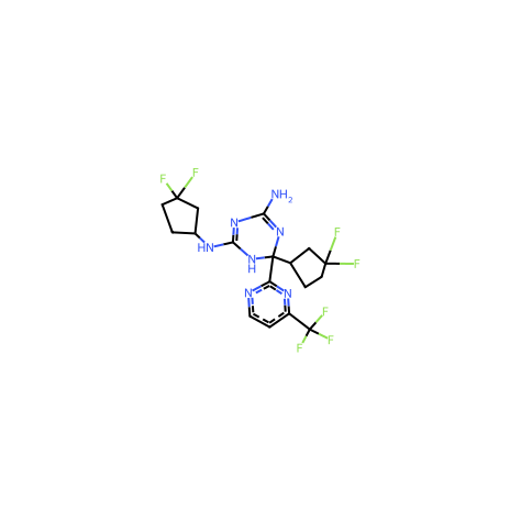 NC1=NC(c2nccc(C(F)(F)F)n2)(C2CCC(F)(F)C2)NC(NC2CCC(F)(F)C2)=N1